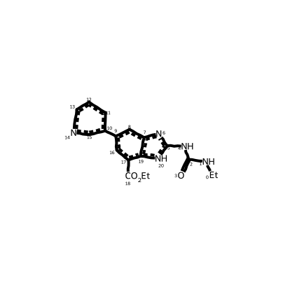 CCNC(=O)Nc1nc2cc(-c3cccnc3)cc(C(=O)OCC)c2[nH]1